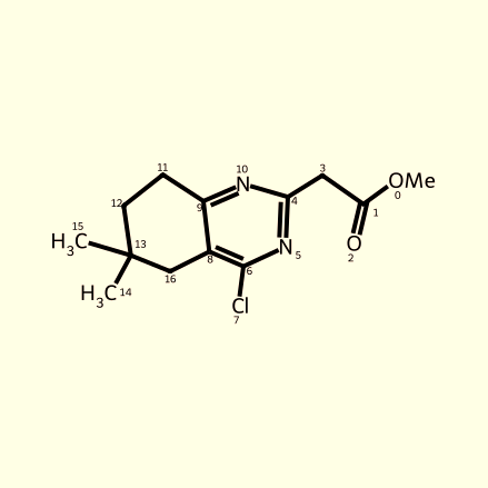 COC(=O)Cc1nc(Cl)c2c(n1)CCC(C)(C)C2